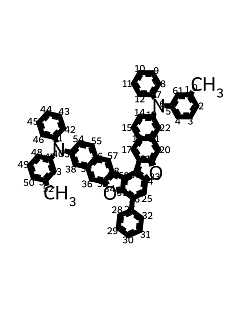 Cc1cccc(N(c2ccccc2)c2ccc3cc4c(cc3c2)oc2cc(-c3ccccc3)c3oc5cc6cc(N(c7ccccc7)c7cccc(C)c7)ccc6cc5c3c24)c1